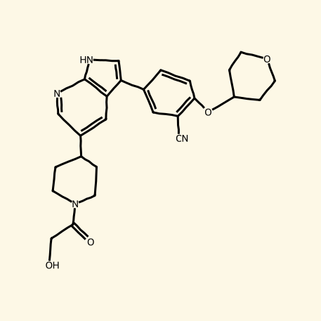 N#Cc1cc(-c2c[nH]c3ncc(C4CCN(C(=O)CO)CC4)cc23)ccc1OC1CCOCC1